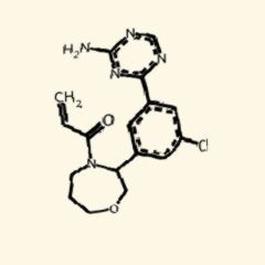 C=CC(=O)N1CCCOCC1c1cc(Cl)cc(-c2ncnc(N)n2)c1